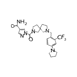 NC(=O)c1cnn(C(=O)N2CCC3(CCN(Cc4ccc(N5CCCC5)cc4C(F)(F)F)C3)C2)c1